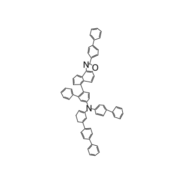 C1=C(c2ccc(-c3ccccc3)cc2)CCC=C1N(c1ccc(-c2ccccc2)cc1)c1ccc(-c2cccc3c2ccc2oc(-c4ccc(-c5ccccc5)cc4)nc23)c(-c2ccccc2)c1